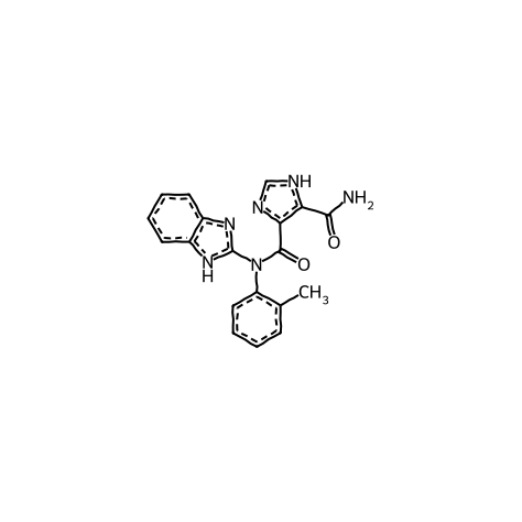 Cc1ccccc1N(C(=O)c1nc[nH]c1C(N)=O)c1nc2ccccc2[nH]1